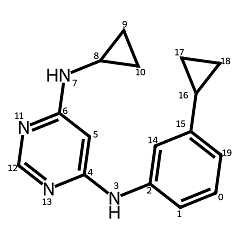 c1cc(Nc2cc(NC3CC3)ncn2)cc(C2CC2)c1